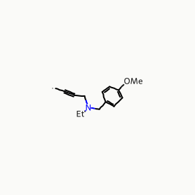 [CH2]C#CCN(CC)Cc1ccc(OC)cc1